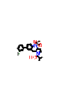 CC(C)C(O)N1CCC(NS(C)(=O)=O)C1Cc1cccc(-c2cccc(F)c2)c1